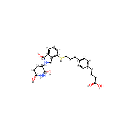 O=C(O)CCCc1ccc(CCCSc2cccc3c2CN(C2CCC(=O)NC2=O)C3=O)cc1